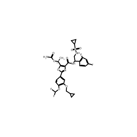 C[C@H](OC(N)=O)c1oc(-c2ccc(OC(F)F)c(OCC3CC3)c2)nc1C(=O)NC(CNS(=O)(=O)C1CC1)c1ccc(F)cc1F